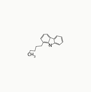 CCCCCc1cccc2c1[N]c1ccccc1-2